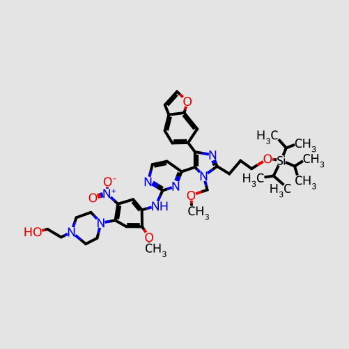 COCn1c(CCCO[Si](C(C)C)(C(C)C)C(C)C)nc(-c2ccc3ccoc3c2)c1-c1ccnc(Nc2cc([N+](=O)[O-])c(N3CCN(CCO)CC3)cc2OC)n1